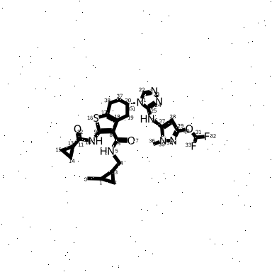 CC1CC1CNC(=O)c1c(NC(=O)C2CC2)sc2c1C[C@@H](n1cnnc1Nc1cc(OC(F)F)nn1C)CC2